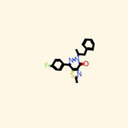 Cc1nc2c(=O)n(C(C)Cc3ccccc3)nc(-c3ccc(F)cc3)c2s1